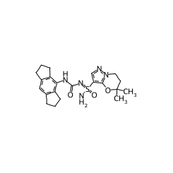 CC1(C)CCn2ncc([S@@](N)(=O)=NC(=O)Nc3c4c(cc5c3CCC5)CCC4)c2O1